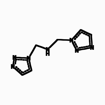 c1cn(CNCn2ccnn2)nn1